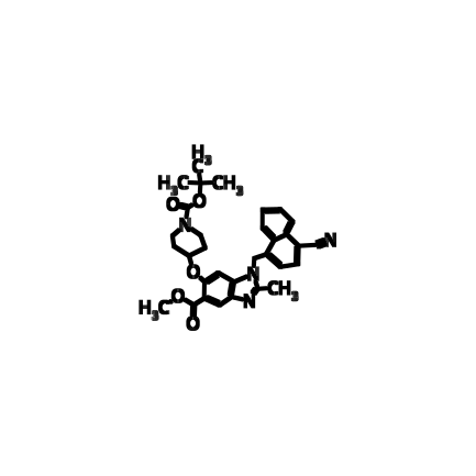 COC(=O)c1cc2nc(C)n(Cc3ccc(C#N)c4ccccc34)c2cc1OC1CCN(C(=O)OC(C)(C)C)CC1